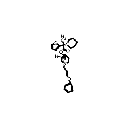 CC(C(=O)O[C@H]1C[N+]2(CCCOc3ccccc3)CCC1CC2)(c1cccs1)N1CCCCC1